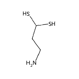 NCCC(S)S